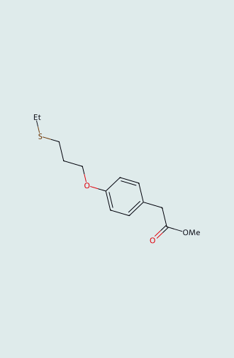 CCSCCCOc1ccc(CC(=O)OC)cc1